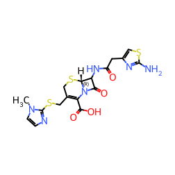 Cn1ccnc1SCC1=C(C(=O)O)N2C(=O)C(NC(=O)Cc3csc(N)n3)[C@H]2SC1